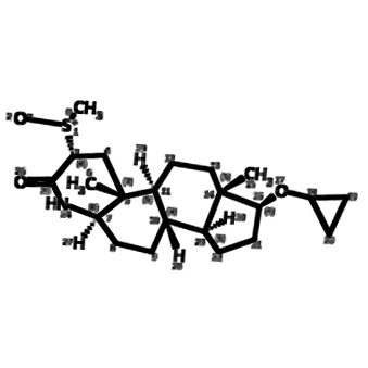 C[S+]([O-])[C@@H]1C[C@@]2(C)[C@@H](CC[C@@H]3[C@@H]2CC[C@]2(C)[C@@H](OC4CC4)CC[C@@H]32)NC1=O